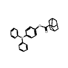 O=C(Oc1ccc([S+](c2ccccc2)c2ccccc2)cc1)C12CC3CC(CC(C3)C1)C2